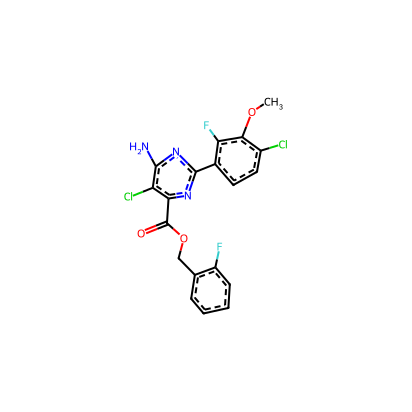 COc1c(Cl)ccc(-c2nc(N)c(Cl)c(C(=O)OCc3ccccc3F)n2)c1F